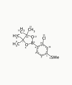 CSc1ccc(B2OC(C)(C)C(C)(C)O2)c(Cl)c1